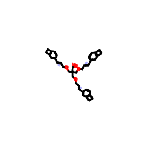 OCC(COC/C=C/c1ccc2c(c1)CC2)(COC/C=C/c1ccc2c(c1)CC2)COC/C=C/c1ccc2c(c1)CC2